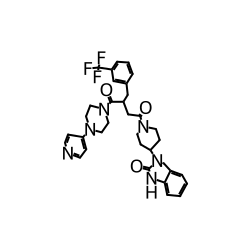 O=C(CC(Cc1cccc(C(F)(F)F)c1)C(=O)N1CCN(c2ccncc2)CC1)N1CCC(N2Cc3ccccc3NC2=O)CC1